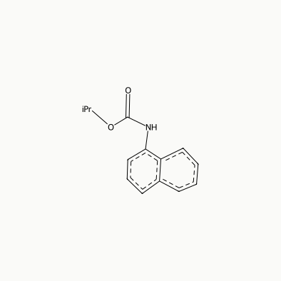 CC(C)OC(=O)Nc1cccc2ccccc12